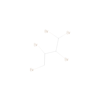 BrCC(Br)C(Br)C(Br)Br